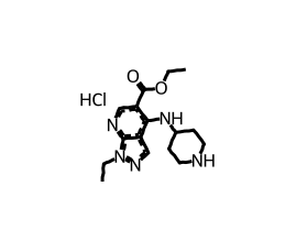 CCOC(=O)c1cnc2c(cnn2CC)c1NC1CCNCC1.Cl